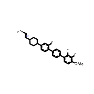 CCC/C=C/C1CCC(c2ccc(-c3ccc(-c4ccc(OC)c(F)c4F)cc3)c(F)c2)CC1